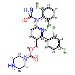 NC(=O)N(c1ccc(COC(=O)N2CCNCC2)c(-c2ccc(F)cc2F)n1)c1c(F)cccc1F